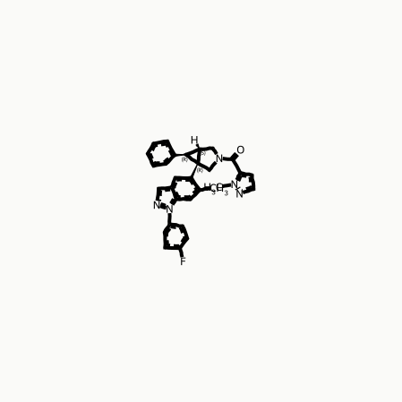 Cc1cc2c(cnn2-c2ccc(F)cc2)cc1[C@]12CN(C(=O)c3ccnn3C)C[C@H]1[C@@H]2c1ccccc1